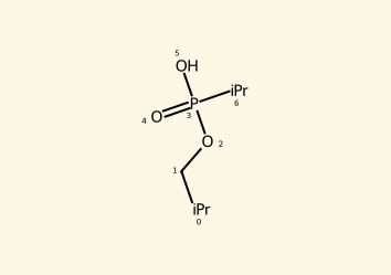 CC(C)COP(=O)(O)C(C)C